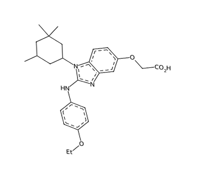 CCOc1ccc(Nc2nc3cc(OCC(=O)O)ccc3n2C2CC(C)CC(C)(C)C2)cc1